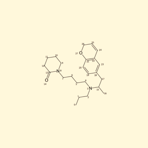 CCCN(CCCCN1CCCCC1=O)C(C)Cc1ccc2c(c1)C=CCO2